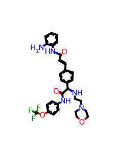 Nc1ccccc1NC(=O)C=Cc1ccc(C(NCCN2CCOCC2)C(=O)Nc2ccc(OC(F)(F)F)cc2)cc1